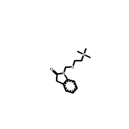 C[Si](C)(C)CCOCN1C(=O)Cc2ccccc21